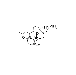 CCCC(C1CCC(C)(CC(C)NN)C12C1=C(C=CCC(OC)=C1)CC2C)N(C)C1=NC(C)=CC(C)N1